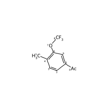 CC(=O)c1ccc(C)c(OC(F)(F)F)c1